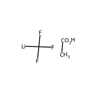 CC(=O)O.[Li][C](F)(F)F